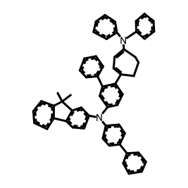 CC1(C)c2ccccc2-c2ccc(N(c3ccc(-c4ccccc4)cc3)c3ccc(C4=CC=C(N(c5ccccc5)c5ccccc5)CCC4)c(-c4ccccc4)c3)cc21